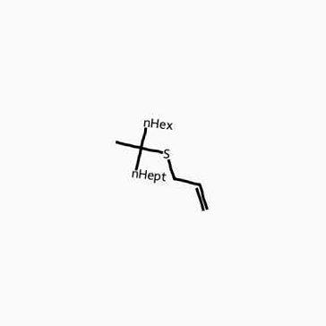 C=CCSC(C)(CCCCCC)CCCCCCC